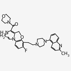 C=CN1/C(=C(\N)C(=O)N2CCOCC2)COc2c1ccc(F)c2CCN1CCN(c2cccc3nc(C)ccc23)CC1